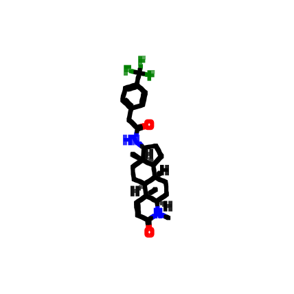 CN1C(=O)C=C[C@]2(C)[C@H]3CC[C@]4(C)[C@@H](NC(=O)Cc5ccc(C(F)(F)F)cc5)CC[C@H]4[C@@H]3CC[C@@H]12